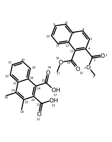 COC(=O)c1ccc2ccccc2c1C(=O)OC.Cc1c(C(=O)O)c(C(=O)O)c2ccccc2c1C